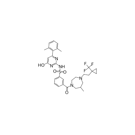 Cc1cccc(C)c1-c1cc(O)nc(NS(=O)(=O)c2cccc(C(=O)N3CCN(CCC4(C(F)(F)F)CC4)CC(C)C3)c2)n1